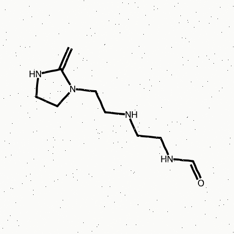 C=C1NCCN1CCNCCNC=O